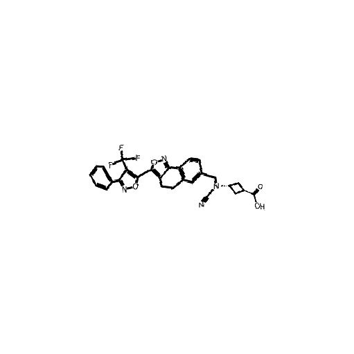 N#CN(Cc1ccc2c(c1)CCc1c-2noc1-c1onc(-c2ccccc2)c1C(F)(F)F)[C@H]1C[C@H](C(=O)O)C1